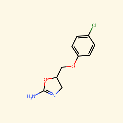 NC1=NCC(COc2ccc(Cl)cc2)O1